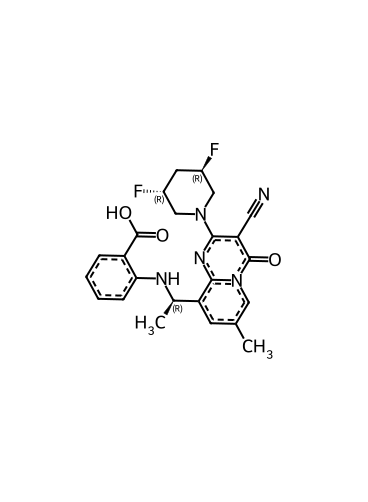 Cc1cc([C@@H](C)Nc2ccccc2C(=O)O)c2nc(N3C[C@H](F)C[C@@H](F)C3)c(C#N)c(=O)n2c1